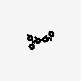 Cc1ccc(N(c2ccccc2)c2ccc(-c3ccc(N(C)c4ccccc4)c(C)c3)cc2C)cc1